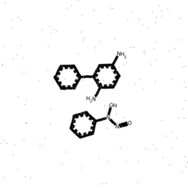 Nc1ccc(N)c(-c2ccccc2)c1.O=NN(O)c1ccccc1